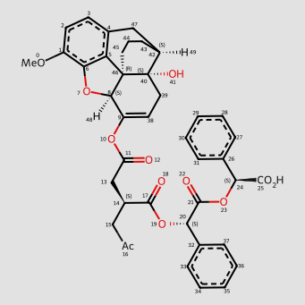 COc1ccc2c3c1O[C@@H]1C(OC(=O)C[C@H](CC(C)=O)C(=O)O[C@H](C(=O)O[C@H](C(=O)O)c4ccccc4)c4ccccc4)=CC[C@]4(O)[C@@H](CCC[C@@]314)C2